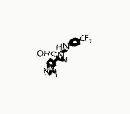 O=Cc1c(-c2ccc3ncc(I)n3c2)cnn1CCNc1ccc(C(F)(F)F)cc1